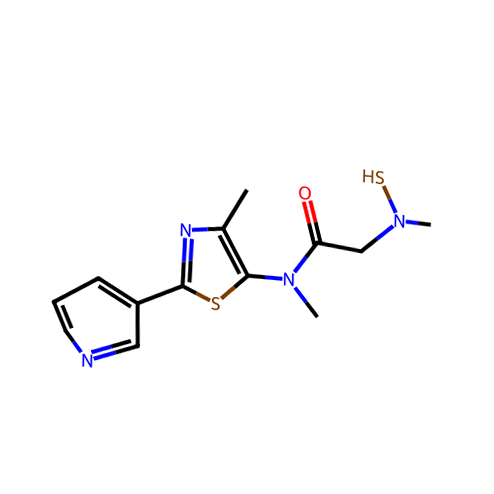 Cc1nc(-c2cccnc2)sc1N(C)C(=O)CN(C)S